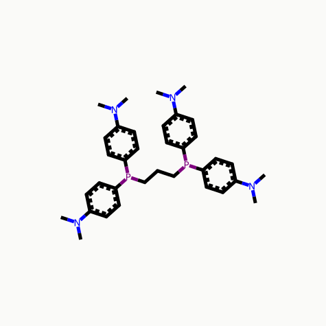 CN(C)c1ccc(P(CCCP(c2ccc(N(C)C)cc2)c2ccc(N(C)C)cc2)c2ccc(N(C)C)cc2)cc1